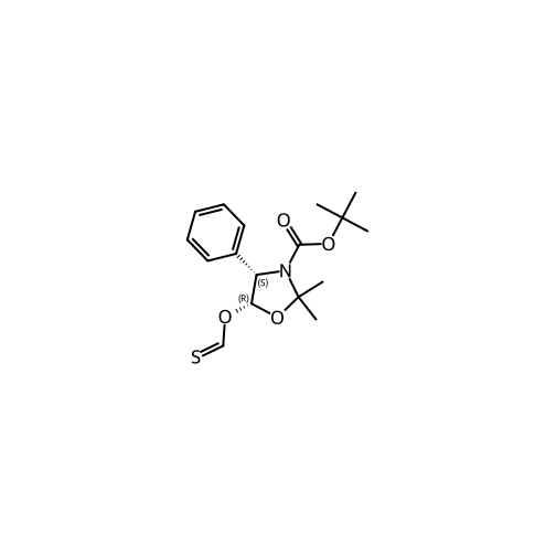 CC(C)(C)OC(=O)N1[C@@H](c2ccccc2)[C@@H](OC=S)OC1(C)C